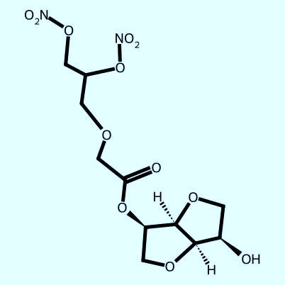 O=C(COCC(CO[N+](=O)[O-])O[N+](=O)[O-])O[C@@H]1CO[C@H]2[C@@H]1OC[C@H]2O